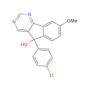 COc1ccc2c(c1)-c1ncncc1C2(O)c1ccc(Cl)cc1